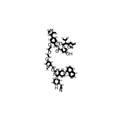 Cc1cc([C@@H](C(=O)N2C[C@H](O)C[C@H]2C(=O)NCc2ccc(-c3scnc3C)cc2OCCOCCO[C@@H]2C[C@@H](COc3nc4c(c(N5CCN[C@@H](CC#N)C5)n3)CCN(c3cccc5ccccc35)C4)N(C)C2)C(C)C)on1